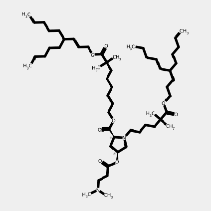 CCCCCC(CCCCC)CCCOC(=O)C(C)(C)CCCCCCOC(=O)[C@@H]1C[C@H](OC(=O)CCN(C)C)CN1CCCCC(C)(C)C(=O)OCCCC(CCCCC)CCCCC